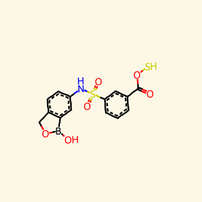 O=C(OS)c1cccc(S(=O)(=O)Nc2ccc3c(c2)B(O)OC3)c1